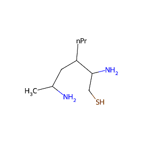 CCCC(CC(C)N)C(N)CS